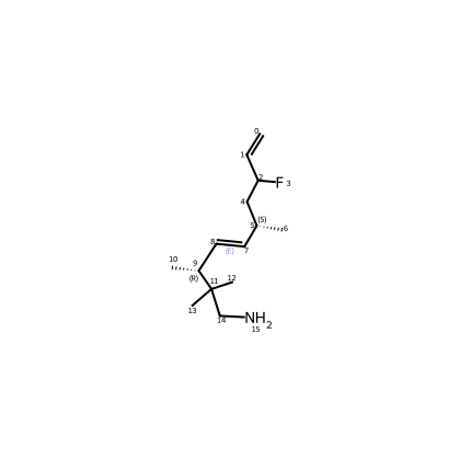 C=CC(F)C[C@H](C)/C=C/[C@@H](C)C(C)(C)CN